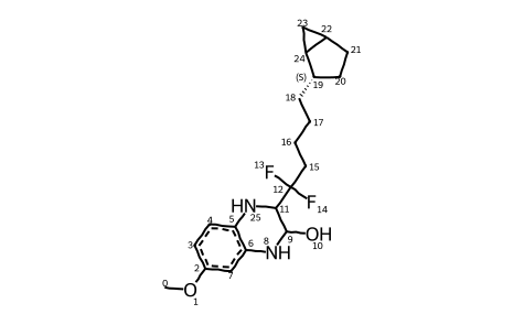 COc1ccc2c(c1)NC(O)C(C(F)(F)CCCC[C@H]1CCC3CC31)N2